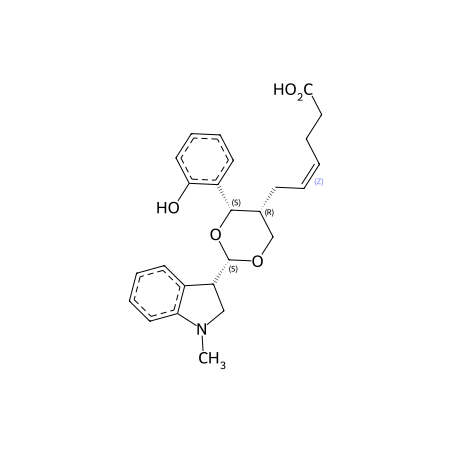 CN1CC([C@H]2OC[C@@H](C/C=C\CCC(=O)O)[C@@H](c3ccccc3O)O2)c2ccccc21